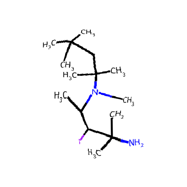 CC(C(I)C(C)(C)N)N(C)C(C)(C)CC(C)(C)C